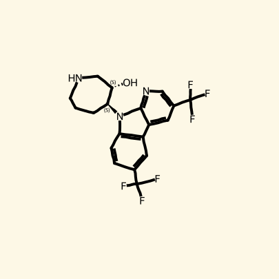 O[C@H]1CNCCC[C@@H]1n1c2ccc(C(F)(F)F)cc2c2cc(C(F)(F)F)cnc21